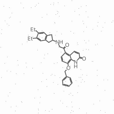 CCc1cc2c(cc1CC)CC(NCC(=O)c1ccc(OCc3ccccc3)c3[nH]c(=O)ccc13)C2